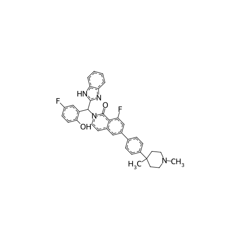 CN1CCC(C)(c2ccc(-c3cc(F)c4c(=O)n(C(c5nc6ccccc6[nH]5)c5cc(F)ccc5O)ccc4c3)cc2)CC1